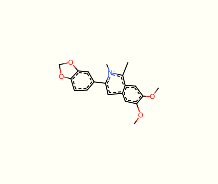 COc1cc2cc(-c3ccc4c(c3)OCO4)[n+](C)c(C)c2cc1OC